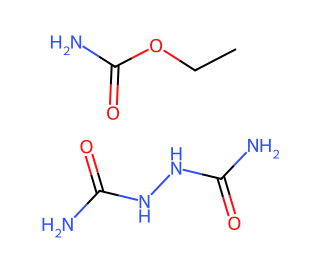 CCOC(N)=O.NC(=O)NNC(N)=O